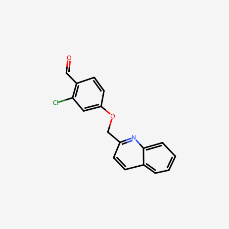 O=Cc1ccc(OCc2ccc3ccccc3n2)cc1Cl